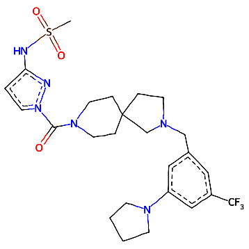 CS(=O)(=O)Nc1ccn(C(=O)N2CCC3(CCN(Cc4cc(N5CCCC5)cc(C(F)(F)F)c4)C3)CC2)n1